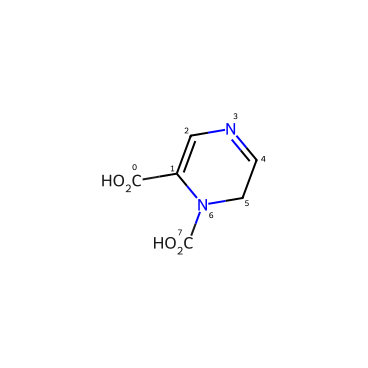 O=C(O)C1=CN=CCN1C(=O)O